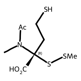 CSS[C@](CCS)(C(=O)O)N(C)C(C)=O